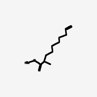 C=CCCCCCCC(C)C(=O)OCCCC